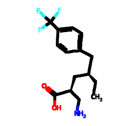 CC[C@H](Cc1ccc(C(F)(F)F)cc1)C[C@@H](CN)C(=O)O